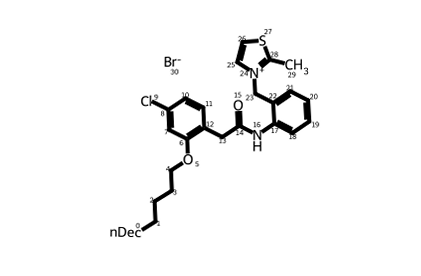 CCCCCCCCCCCCCCOc1cc(Cl)ccc1CC(=O)Nc1ccccc1C[n+]1ccsc1C.[Br-]